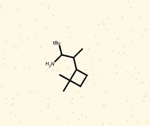 CC(C(N)C(C)(C)C)C1CCC1(C)C